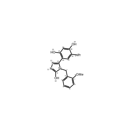 COc1ccccc1Cn1c(O)nnc1-c1cc(C(C)C)c(O)cc1O